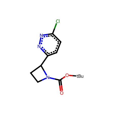 CC(C)(C)OC(=O)N1CCC1c1ccc(Cl)nn1